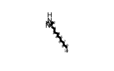 CCCCCCCCCCI.c1c[nH]cn1